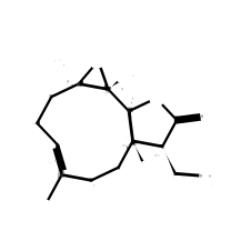 C/C1=C\CC[C@@]2(C)O[C@@H]2[C@H]2OC(=O)[C@@H](CO)[C@@H]2CC1